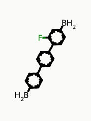 Bc1ccc(-c2ccc(-c3ccc(B)cc3F)cc2)cc1